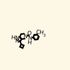 Cc1cccc(NC(=O)N2CCc3[nH]nc(C4CCC4)c3C2)c1